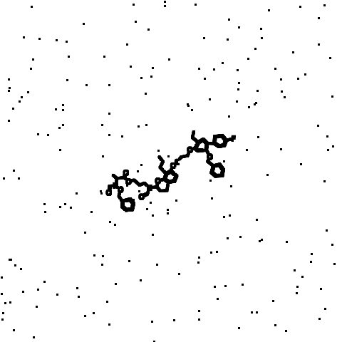 CCCc1c(OCCCOc2cc(OCc3ccccc3)c(-c3ccc(F)cc3)cc2CC)ccc2c1OC(N(C=O)CCCOC(=O)C(C)N(C=O)OCc1ccccc1)CC2